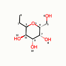 CC[C]1O[C@H](CO)[C@H](O)[C@H](O)[C@H]1O